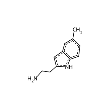 Cc1ccc2[nH]c(CCN)cc2c1